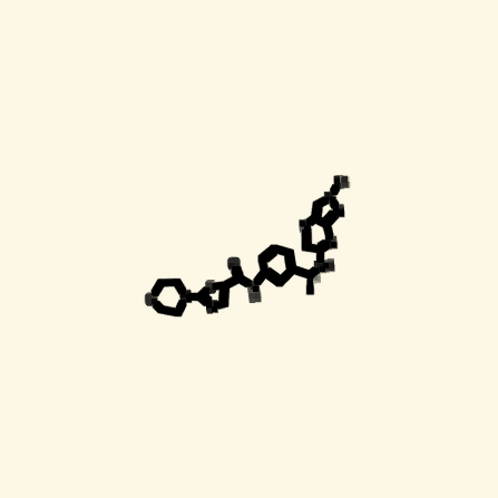 CCn1cc2ncc(N[C@@H](C)c3cccc(NC(=O)c4cnc(N5CCOCC5)s4)c3)nc2n1